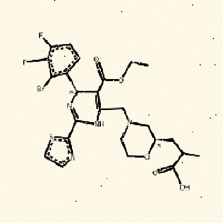 CCOC(=O)C1=C(CN2CCO[C@H](CC(C)C(=O)O)C2)NC(c2nccs2)=N[C@H]1c1ccc(F)c(F)c1Br